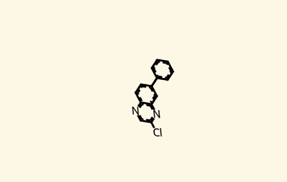 Clc1cnc2ccc(-c3ccccc3)cc2n1